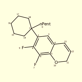 CCCCCC1(c2cc3c(c(F)c2F)OCC=C3)CCCCC1